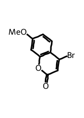 COc1ccc2c(Br)cc(=O)oc2c1